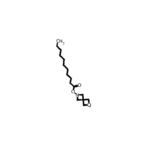 CCCCCCCCCCC(=O)ON1CC2(COC2)C1